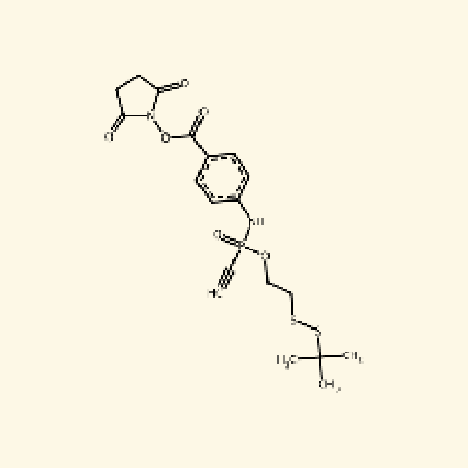 C#CP(=O)(Nc1ccc(C(=O)ON2C(=O)CCC2=O)cc1)OCCSSC(C)(C)C